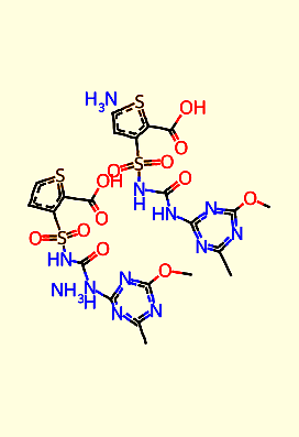 COc1nc(C)nc(NC(=O)NS(=O)(=O)c2ccsc2C(=O)O)n1.COc1nc(C)nc(NC(=O)NS(=O)(=O)c2ccsc2C(=O)O)n1.N.N